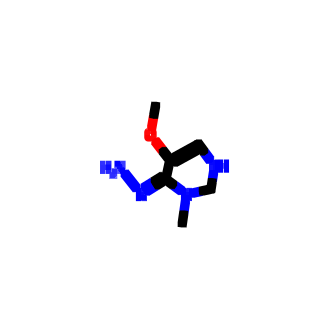 COC1=CNCN(C)C1=NN